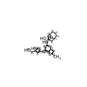 Cc1cc2nc(NC3CC4CCCC(C3)N4C(=O)O)nc(Nc3cc(CO)[nH]n3)c2s1